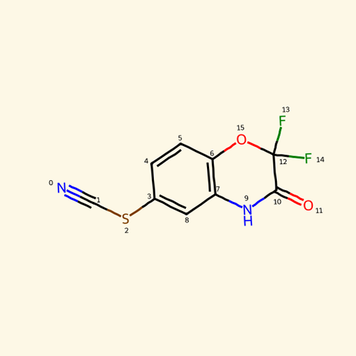 N#CSc1ccc2c(c1)NC(=O)C(F)(F)O2